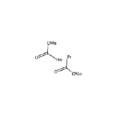 CCC(C)C(=O)OC.COC(=O)C(C)C